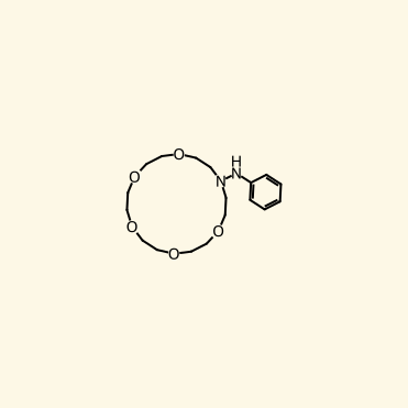 c1ccc(NN2CCOCCOCCOCCOCCOCC2)cc1